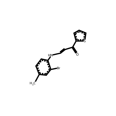 Cc1ccc(N/C=C/C(=O)c2cccs2)c(Br)c1